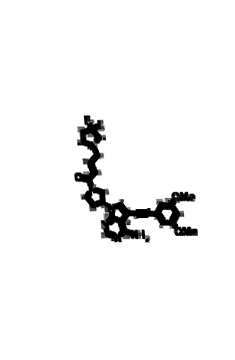 COc1cc(C#Cc2cn([C@H]3CCN(C(=O)/C=C/CN4CCC(F)(F)C4)C3)c3ncnc(N)c23)cc(OC)c1